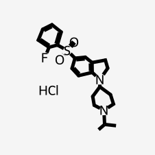 CC(C)N1CCC(N2CCc3cc(S(=O)(=O)c4ccccc4F)ccc32)CC1.Cl